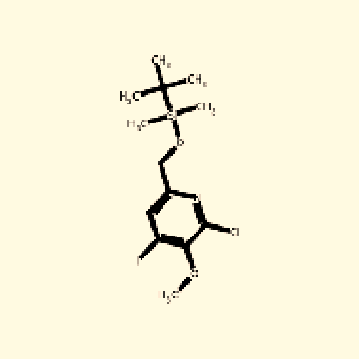 COc1c(I)cc(CO[Si](C)(C)C(C)(C)C)nc1Cl